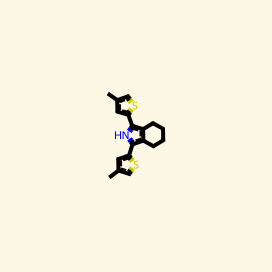 Cc1csc(-c2[nH]c(-c3cc(C)cs3)c3c2CCCC3)c1